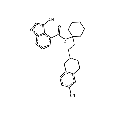 N#Cc1ccc2c(c1)CCN(CCC1(NC(=O)c3cccc4occ(C#N)c34)CCCCC1)C2